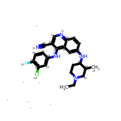 CCN1CCC(Nc2ccc3ncc(C#N)c(Nc4ccc(F)c(Cl)c4)c3c2)C(C)C1